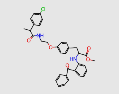 COC(=O)C(Cc1ccc(OCCNC(=O)C(C)c2ccc(Cl)cc2)cc1)Nc1ccccc1C(=O)c1ccccc1